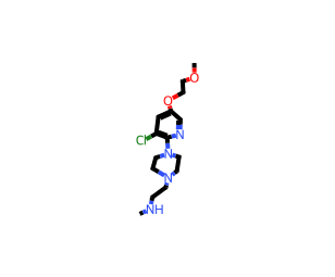 CNCCN1CCN(c2ncc(OCCOC)cc2Cl)CC1